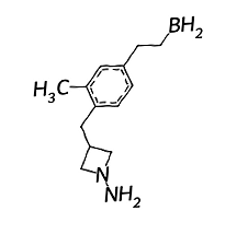 BCCc1ccc(CC2CN(N)C2)c(C)c1